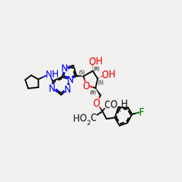 O=C(O)C(Cc1ccc(F)cc1)(OC[C@H]1O[C@@H](c2cnc3c(NC4CCCC4)ncnn23)[C@H](O)[C@@H]1O)C(=O)O